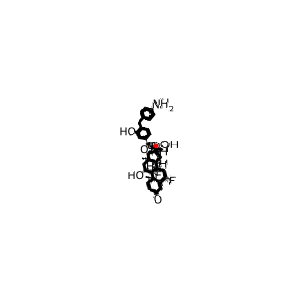 C[C@]12C=CC(=O)C=C1[C@@H](F)C[C@H]1[C@@H]3C[C@H]4O[C@@H](c5ccc(Cc6ccc(N)cc6)c(O)c5)O[C@@]4(C(=O)CO)[C@@]3(C)C[C@H](O)[C@@]12F